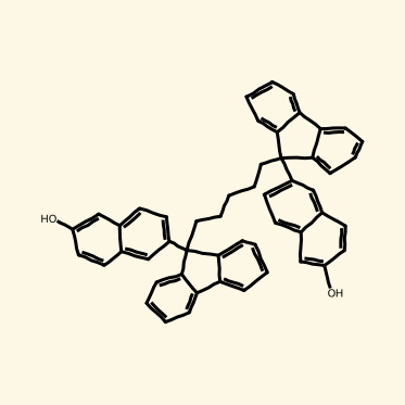 Oc1ccc2cc(C3(CCCCCC4(c5ccc6cc(O)ccc6c5)c5ccccc5-c5ccccc54)c4ccccc4-c4ccccc43)ccc2c1